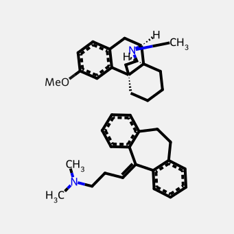 CN(C)CCC=C1c2ccccc2CCc2ccccc21.COc1ccc2c(c1)[C@]13CCCC[C@@H]1[C@H](C2)N(C)CC3